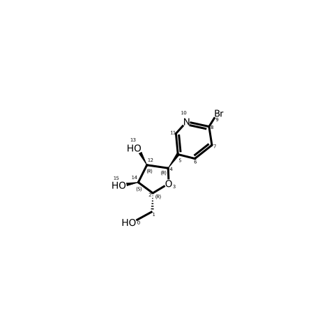 OC[C@H]1O[C@H](c2ccc(Br)nc2)[C@H](O)[C@@H]1O